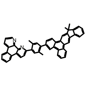 Cc1cc(-c2ccc3c4ccccc4c4cccnc4c3n2)c(C)cc1-c1ccc2c(c1)c1ccccc1c1cc3c(cc21)C(C)(C)c1ccccc1-3